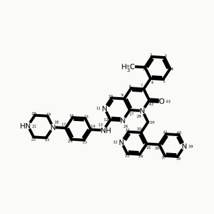 Cc1ccccc1-c1cc2cnc(Nc3ccc(N4CCNCC4)cc3)nc2n(Cc2cnccc2-c2ccncc2)c1=O